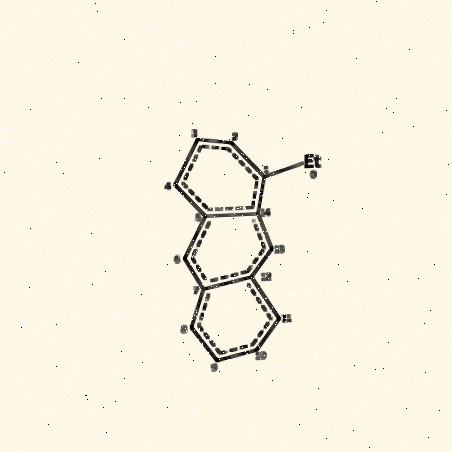 CCc1cccc2cc3ccccc3cc12